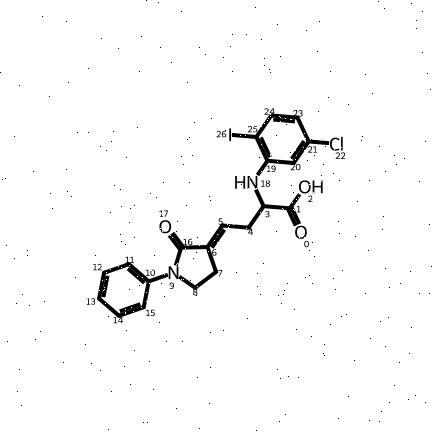 O=C(O)C(CC=C1CCN(c2ccccc2)C1=O)Nc1cc(Cl)ccc1I